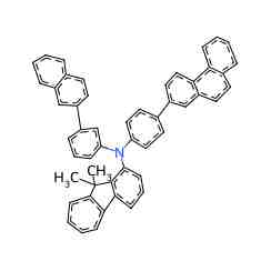 CC1(C)c2ccccc2-c2cccc(N(c3ccc(-c4ccc5c(ccc6ccccc65)c4)cc3)c3cccc(-c4ccc5ccccc5c4)c3)c21